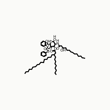 CCCCCCCCCCCCCCCCC(CCCCCCCCC)CC(=O)O[C@H]1[C@H](OP(=O)(Oc2ccccc2)Oc2ccccc2)[C@@H](CO)OC(O)[C@@H]1NC(=O)C[C@H](O)CCCCCCCCCCC